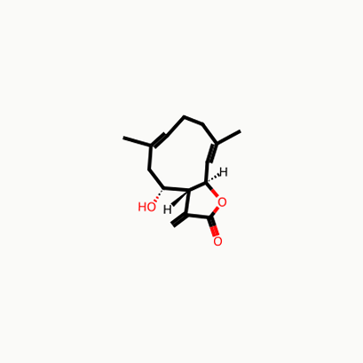 C=C1C(=O)O[C@@H]2/C=C(\C)CC/C=C(\C)C[C@@H](O)[C@@H]12